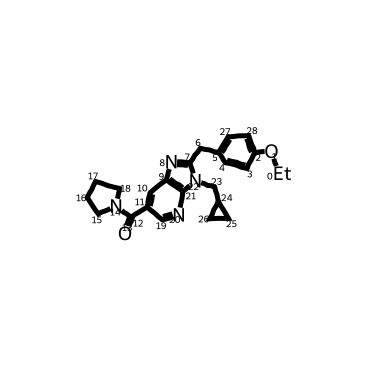 CCOc1ccc(Cc2nc3cc(C(=O)N4CCCC4)cnc3n2CC2CC2)cc1